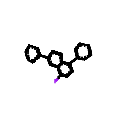 Ic1ccc(-c2ccccc2)c2ccc(-c3ccccc3)cc12